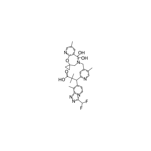 Cc1cnc2c(c1)S(O)(O)N(Cc1cc(C(c3ccn4c(C(F)F)nnc4c3C)C(C)(C)C(=O)O)ncc1C)CC1(CC1)O2